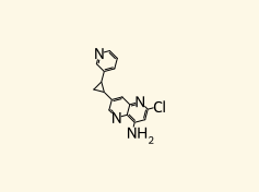 Nc1cc(Cl)nc2cc(C3CC3c3cccnc3)cnc12